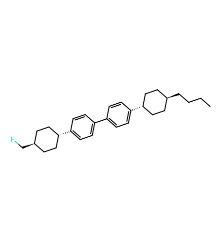 CCCC[C@H]1CC[C@H](c2ccc(-c3ccc([C@H]4CC[C@H](CF)CC4)cc3)cc2)CC1